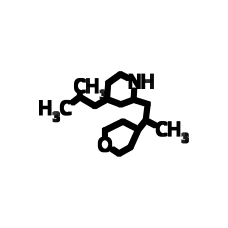 CC(C)CC1CCNC(CC(C)C2CCOCC2)C1